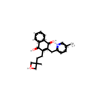 CC1(CCC2=C(Cc3ccc(C(F)(F)F)cn3)C(=O)c3ccccc3C2=O)COC1